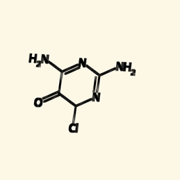 NC1=NC(Cl)C(=O)C(N)=N1